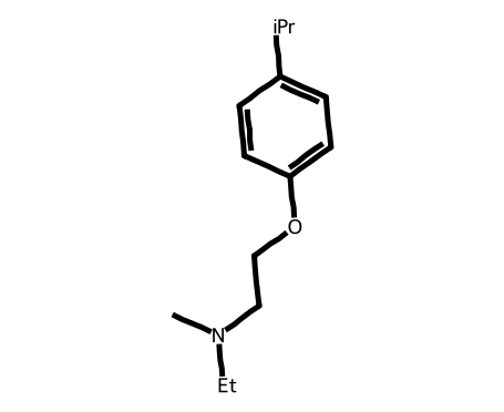 CCN(C)CCOc1ccc(C(C)C)cc1